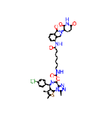 Cc1sc2c(c1C)C(c1ccc(Cl)cc1)=N[C@@H](OC(=O)NCCCCCCC(=O)Nc1cccc3c1CN(C1CCC(=O)NC1=O)C3=O)c1nnc(C)n1-2